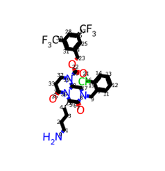 NCCCC[C@H]1C(=O)N(Cc2ccccc2Cl)CC2N(C(=O)OCc3cc(C(F)(F)F)cc(C(F)(F)F)c3)CCC(=O)N21